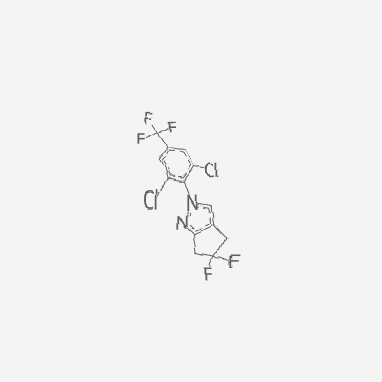 FC1(F)Cc2cn(-c3c(Cl)cc(C(F)(F)F)cc3Cl)nc2C1